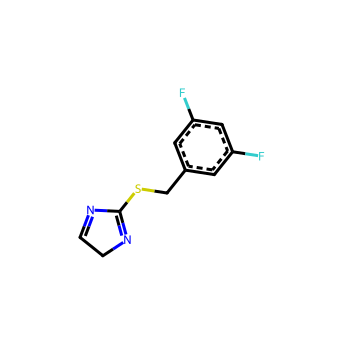 Fc1cc(F)cc(CSC2=NCC=N2)c1